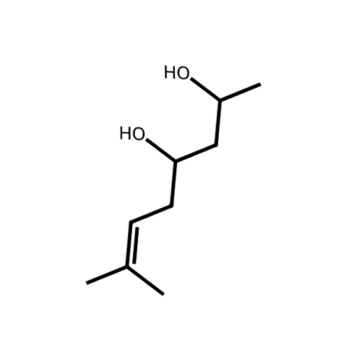 CC(C)=CCC(O)CC(C)O